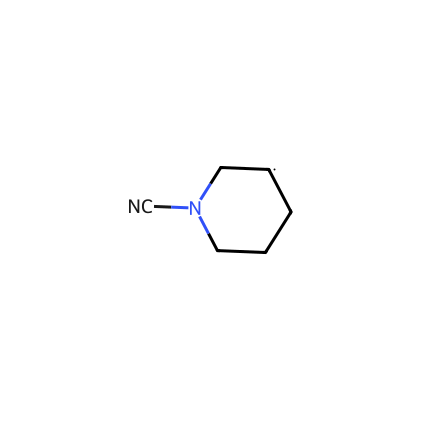 N#CN1C[CH]CCC1